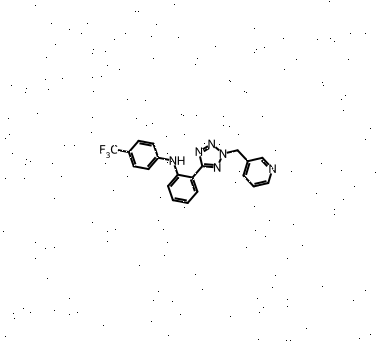 FC(F)(F)c1ccc(Nc2ccccc2-c2nnn(Cc3cccnc3)n2)cc1